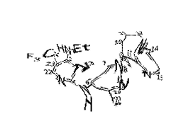 CCNc1nc(Nc2cn([C@H]3CCCn4ccnc43)nc2C)ncc1C(F)(F)F